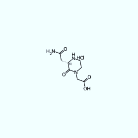 Cl.NC(=O)C[C@@H]1NCCN(CC(=O)O)C1=O